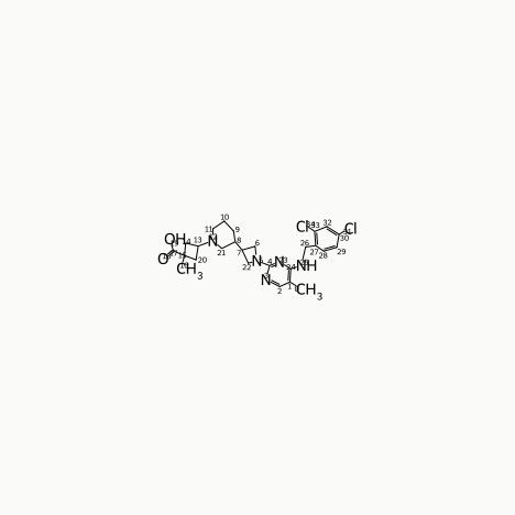 Cc1cnc(N2CC(C3CCCN(C4CC(C)(C(=O)O)C4)C3)C2)nc1NCc1ccc(Cl)cc1Cl